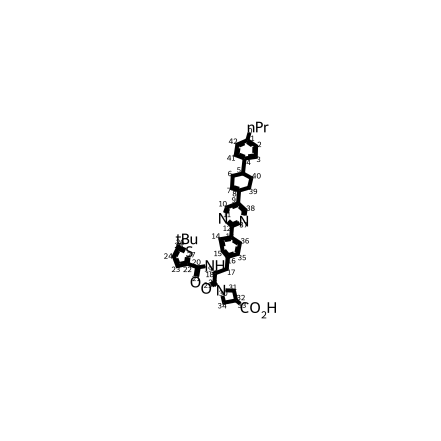 CCCc1ccc(C2CC=C(c3cnc(-c4ccc(CC(NC(=O)c5ccc(C(C)(C)C)s5)C(=O)N5CC(C(=O)O)C5)cc4)nc3)CC2)cc1